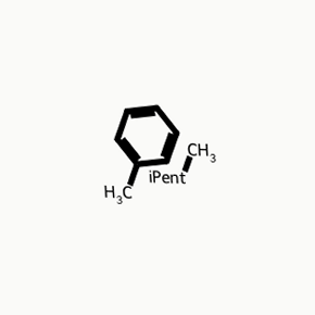 CCCC(C)C.Cc1ccccc1